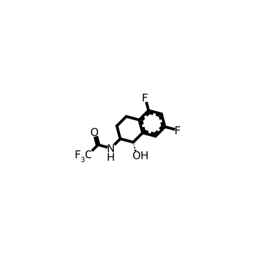 O=C(NC1CCc2c(F)cc(F)cc2[C@@H]1O)C(F)(F)F